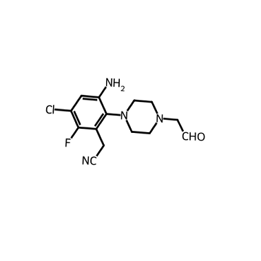 N#CCc1c(F)c(Cl)cc(N)c1N1CCN(CC=O)CC1